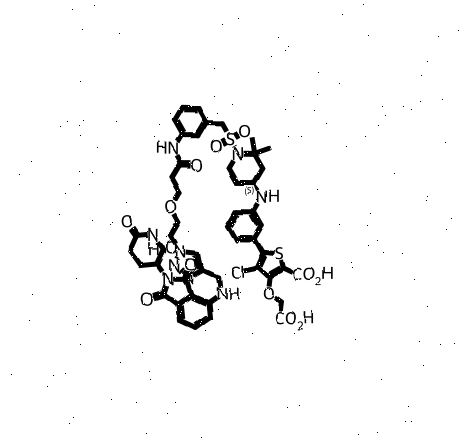 CC1(C)C[C@@H](Nc2cccc(-c3sc(C(=O)O)c(OCC(=O)O)c3Cl)c2)CCN1S(=O)(=O)Cc1cccc(NC(=O)CCOCCn2cc(CNc3cccc4c3C(=O)N(C3CCC(=O)NC3=O)C4=O)nn2)c1